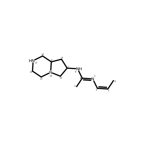 C/C=C\N=C(/C)NC1CC2CNCCN2C1